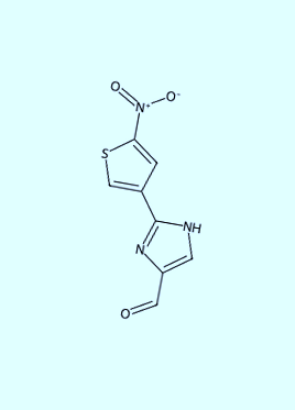 O=Cc1c[nH]c(-c2csc([N+](=O)[O-])c2)n1